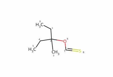 CCC(C)(CC)O[C]=S